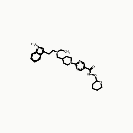 CCN(CCc1cn(C)c2ccccc12)CC1CCN(c2ncc(C(=O)NOC3CCCCO3)cn2)CC1